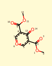 COC(=O)c1cocc(C(=O)OC)c1=O